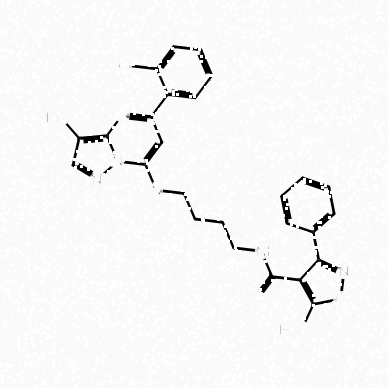 Bc1cnn2c(NCCCCNC(=O)c3c(-c4ccccc4)noc3C)cc(-c3ccccc3Cl)nc12